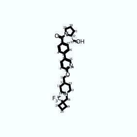 O=C(c1ccc(-c2ccc(OCC3CCN(CC4(C(F)(F)F)CCC4)CC3)nc2)cc1)N1CCC[C@@H]1CO